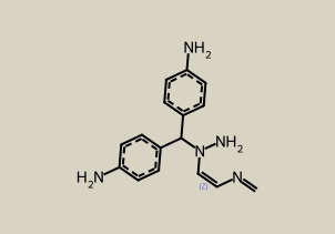 C=N/C=C\N(N)C(c1ccc(N)cc1)c1ccc(N)cc1